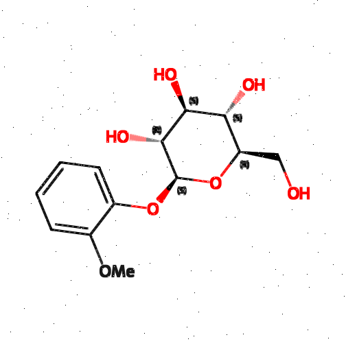 COc1ccccc1O[C@@H]1O[C@H](CO)[C@@H](O)[C@H](O)[C@H]1O